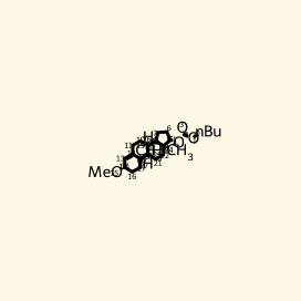 CCCCOC(=O)O[C@H]1CC[C@H]2[C@@H]3CCC4=C[C@@H](OC)CC[C@]4(C)[C@H]3CC[C@]12C